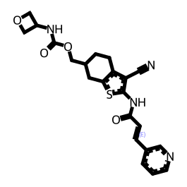 N#Cc1c(NC(=O)/C=C/c2cccnc2)sc2c1CCC(COC(=O)NC1COC1)C2